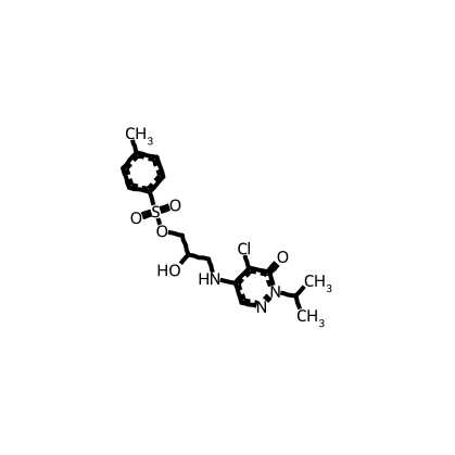 Cc1ccc(S(=O)(=O)OCC(O)CNc2cnn(C(C)C)c(=O)c2Cl)cc1